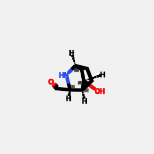 O=C[C@H]1N[C@H]2CC[C@@H]1[C@H](O)C2